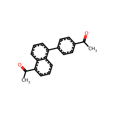 CC(=O)c1ccc(-c2cccc3c(C(C)=O)cccc23)cc1